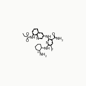 CCS(=O)(=O)Nc1cccc2cc(Nc3nc(NC4CCCC[C@@H]4N)c(F)cc3C(N)=O)cnc12